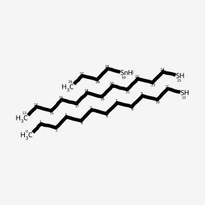 CCCCCCCCCCCCS.CCCCCCCCCCCCS.CCC[CH2][SnH]